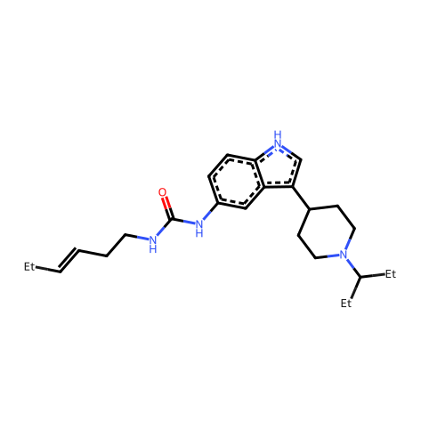 CCC=CCCNC(=O)Nc1ccc2[nH]cc(C3CCN(C(CC)CC)CC3)c2c1